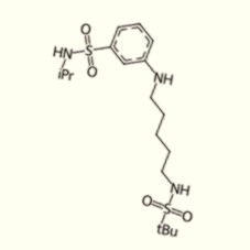 CC(C)NS(=O)(=O)c1cccc(NCCCCCNS(=O)(=O)C(C)(C)C)c1